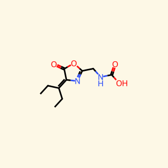 CCC(CC)=C1N=C(CNC(=O)O)OC1=O